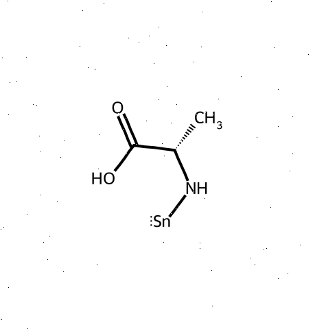 C[C@H]([NH][Sn])C(=O)O